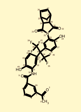 CC(=O)c1cccc(C(=O)Nc2cc(C(c3ccc(O)c(N4C(=O)C5C6C=CC(C6)C5C4=O)c3)(C(F)(F)F)C(F)(F)F)ccc2O)c1